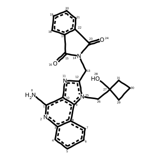 Nc1nc2ccccc2c2c1nc(CN1C(=O)c3ccccc3C1=O)n2CC1(O)CCC1